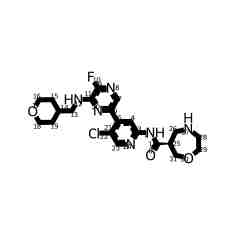 O=C(Nc1cc(-c2cnc(F)c(NCC3CCOCC3)n2)c(Cl)cn1)[C@H]1CNCCOC1